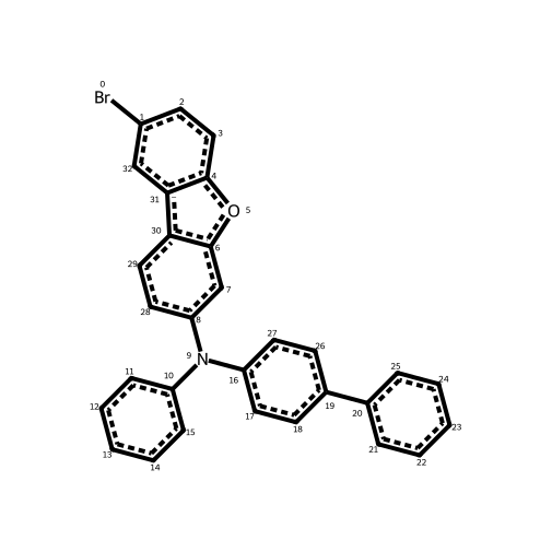 Brc1ccc2oc3cc(N(c4ccccc4)c4ccc(-c5ccccc5)cc4)ccc3c2c1